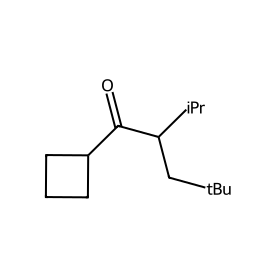 CC(C)C(CC(C)(C)C)C(=O)C1CCC1